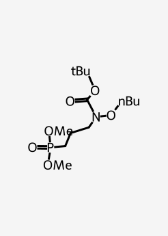 CCCCON(CCCP(=O)(OC)OC)C(=O)OC(C)(C)C